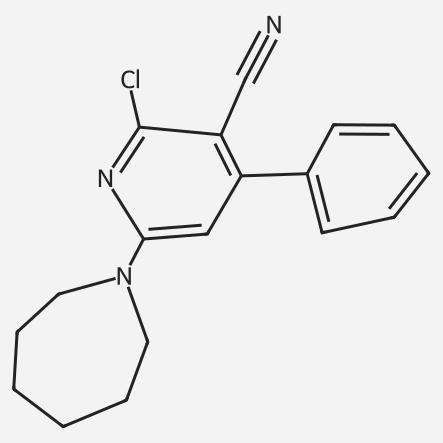 N#Cc1c(-c2ccccc2)cc(N2CCCCCC2)nc1Cl